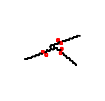 CCCCCCCCCCOC(=O)CCC1CCC(CCC(=O)OCCCCCCCCCC)C(CCC(=O)OCCCCCCCCCC)C1